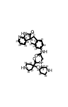 CC1(C(=O)N(CC(=O)Nc2ccc3c(c2)C[C@@]2(C3)C(=O)Nc3ncccc32)[C@H]2CCCNC2)CCNCC1